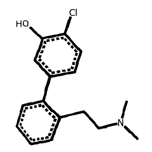 CN(C)CCc1ccccc1-c1ccc(Cl)c(O)c1